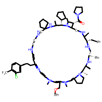 CCCOCC1=CN(C)C=CN=C(CCc2ccc(C(F)(F)F)c(Cl)c2)C=CNCCNCC2(CCCC2)NC(C)[C@H](C2CCCC2)N2C(C)[C@H](C(=O)N3CCCC3)C2CNC(C)[C@H](CC(C)C)NC[C@H]([C@@H](C)CC)NC(C)[C@H](C)N2CCCC2=CN1C